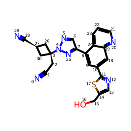 N#CC[C@]1(n2ncc(-c3cc(-c4ncc(CO)s4)cc4ncccc34)n2)C[C@H](C#N)C1